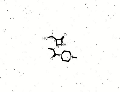 CC(C(=O)N1CCN(C)CC1)[C@H]1NC(=O)[C@@H]1[C@@H](C)O